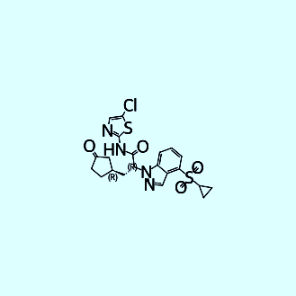 O=C1CC[C@H](C[C@H](C(=O)Nc2ncc(Cl)s2)n2ncc3c(S(=O)(=O)C4CC4)cccc32)C1